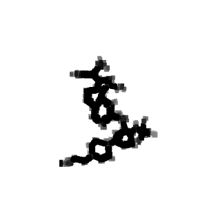 Cn1nc(C(N)=O)c2ccc3cnc(Nc4cc(N5CCN(CCO)CC5)ccc4OC(F)(F)F)nc3c21